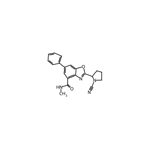 CNC(=O)c1cc(-c2ccccc2)cc2oc(C3CCCN3C#N)nc12